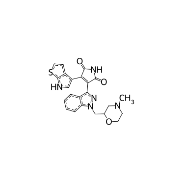 CN1CCOC(Cn2nc(C3=C(c4c[nH]c5sccc45)C(=O)NC3=O)c3ccccc32)C1